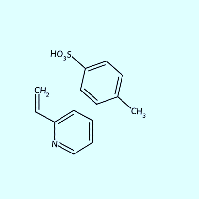 C=Cc1ccccn1.Cc1ccc(S(=O)(=O)O)cc1